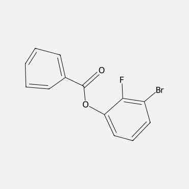 O=C(Oc1cccc(Br)c1F)c1ccccc1